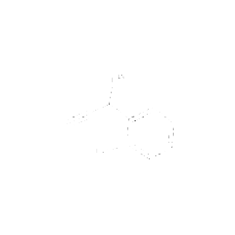 [C]#CC(CCC)c1ccccc1C